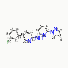 Cc1cnn(-c2cccc(Nc3ccc(-c4cccc(F)c4)cn3)n2)c1